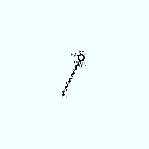 C#CCOCCOCCOCCOCCC(=O)NC1(C)CCCC(N)C(N)C1